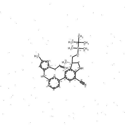 C=CCn1nc(C)cc1Nc1nccc(-c2cc(C#N)c3c(c2)[C@@](C)(CO[Si](C)(C)C(C)(C)C)CN3)n1